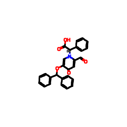 O=Cc1cc(=O)c(OC(c2ccccc2)c2ccccc2)cn1[C@H](C(=O)O)c1ccccc1